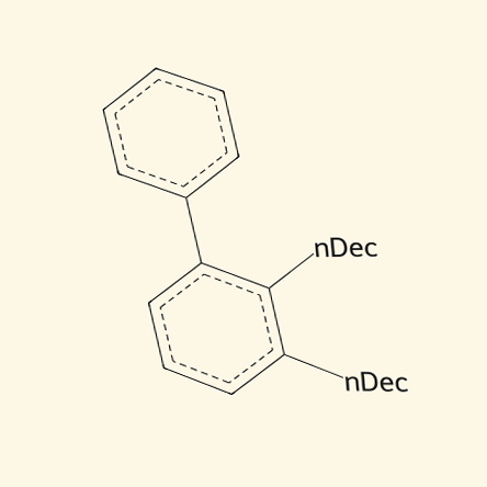 CCCCCCCCCCc1cccc(-c2ccccc2)c1CCCCCCCCCC